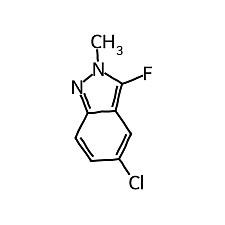 Cn1nc2ccc(Cl)cc2c1F